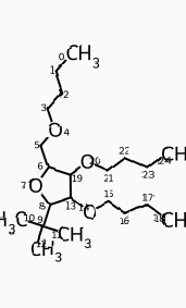 CCCCOCC1OC(C(C)(C)C)C(OCCCC)C1OCCCC